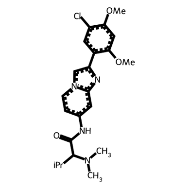 COc1cc(OC)c(-c2cn3ccc(NC(=O)C(C(C)C)N(C)C)cc3n2)cc1Cl